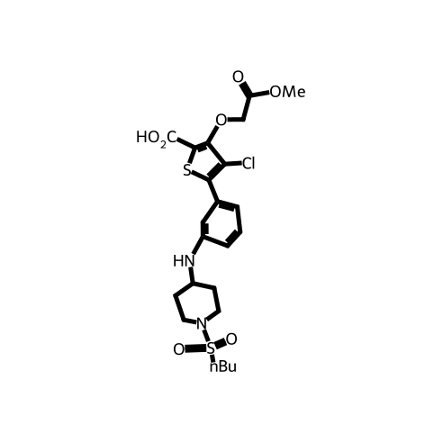 CCCCS(=O)(=O)N1CCC(Nc2cccc(-c3sc(C(=O)O)c(OCC(=O)OC)c3Cl)c2)CC1